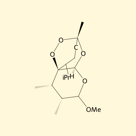 COC1O[C@@H]2O[C@]3(C)CCC(C(C)C)[C@@]2(OO3)[C@@H](C)[C@H]1C